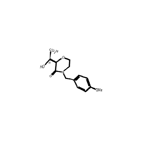 COc1ccc(CN2CCOC([C@@H](O)C(=O)O)C2=O)cc1